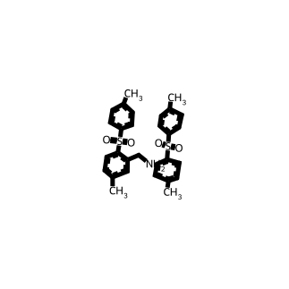 Cc1ccc(S(=O)(=O)c2ccc(C)cc2)cc1.Cc1ccc(S(=O)(=O)c2ccc(C)cc2CN)cc1